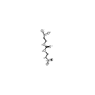 O=[N+]([O-])CCOC(=S)OCC[N+](=O)[O-]